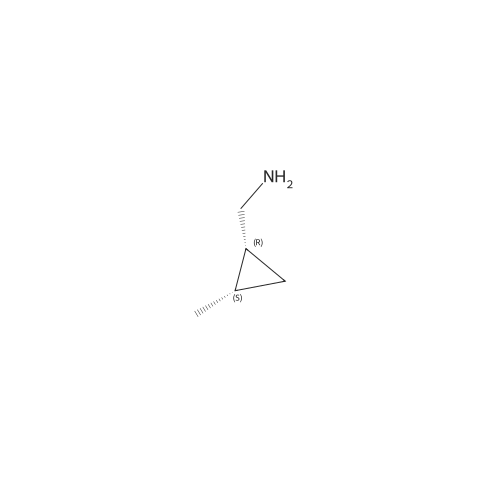 C[C@H]1C[C@H]1CN